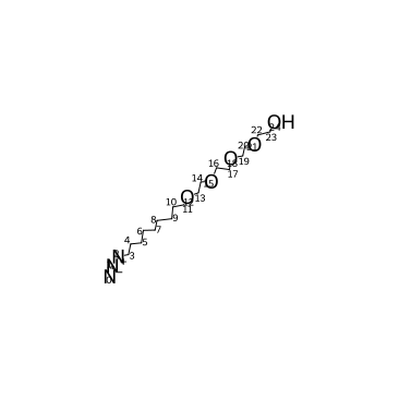 [N-]=[N+]=NCCCCCCCCCOCCOCCOCCOCCO